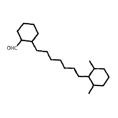 CC1CCCC(C)C1CCCCCCCC1CCCCC1C=O